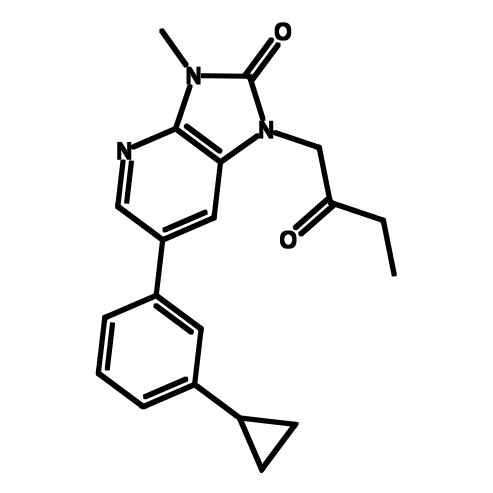 CCC(=O)Cn1c(=O)n(C)c2ncc(-c3cccc(C4CC4)c3)cc21